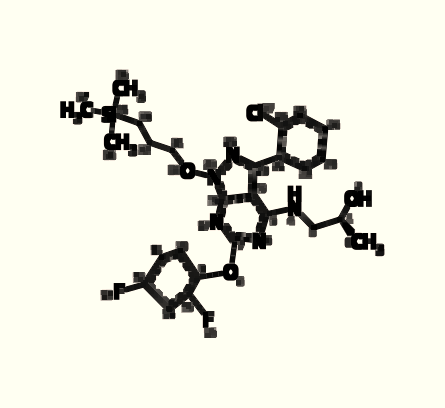 C[C@H](O)CNc1nc(Oc2ccc(F)cc2F)nc2c1c(-c1ccccc1Cl)nn2OCCC[Si](C)(C)C